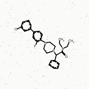 CCN(CC)C(=O)C(c1ccccc1)N1CCN(c2ccc(-c3cccc(Cl)c3)cc2F)CC1